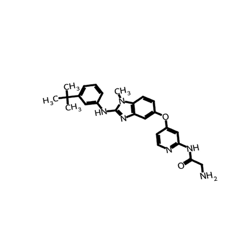 Cn1c(Nc2cccc(C(C)(C)C)c2)nc2cc(Oc3ccnc(NC(=O)CN)c3)ccc21